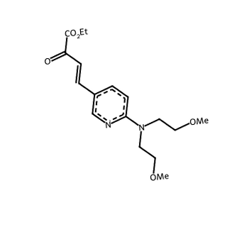 CCOC(=O)C(=O)C=Cc1ccc(N(CCOC)CCOC)nc1